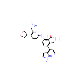 CN(C)Cc1nc(Nc2ccc(-c3ccnc4c3ccn4C)c3c2C(=O)NC3)ccc1[C@H]1CCOC1